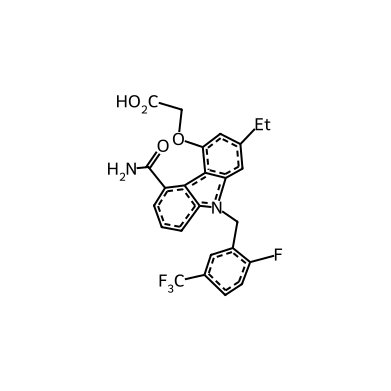 CCc1cc(OCC(=O)O)c2c3c(C(N)=O)cccc3n(Cc3cc(C(F)(F)F)ccc3F)c2c1